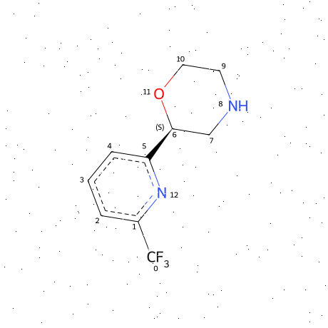 FC(F)(F)c1cccc([C@@H]2CNCCO2)n1